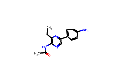 CCc1nc(-c2ccc(N)cc2)cnc1NC(C)=O